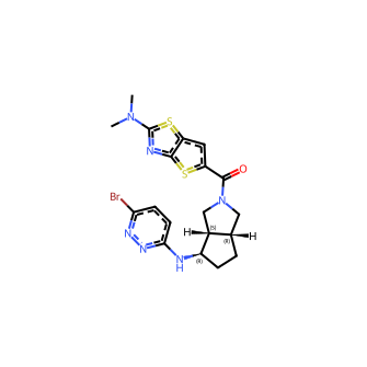 CN(C)c1nc2sc(C(=O)N3C[C@@H]4CC[C@@H](Nc5ccc(Br)nn5)[C@@H]4C3)cc2s1